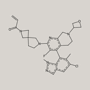 C=CC(=O)N1CC2(CCN(c3nc4c(c(-c5c(C)c(Cl)cc6cnn(C)c56)c3F)CCN(C3COC3)C4)C2)C1